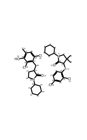 CC1(C)CN(C2CCCCC2)C(=O)C1Sc1ccc(Cl)cc1Cl.O=C1C(Cc2c(Cl)cc(I)c(O)c2Cl)CCN1C1CCCCC1